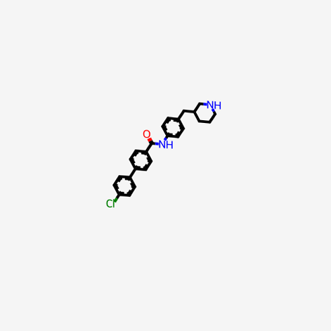 O=C(Nc1ccc(CC2CCCNC2)cc1)c1ccc(-c2ccc(Cl)cc2)cc1